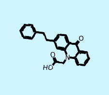 O=C(O)Cn1c2ccccc2c(=O)c2ccc(CCc3ccccc3)cc21